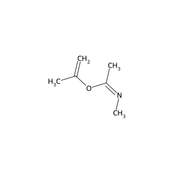 C=C(C)O/C(C)=N\C